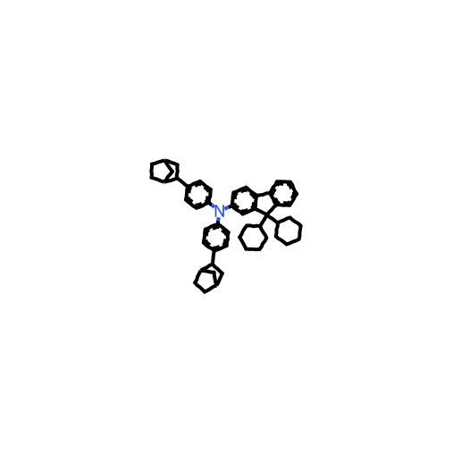 c1ccc2c(c1)-c1ccc(N(c3ccc(C4CC5CCC4C5)cc3)c3ccc(C4CC5CCC4C5)cc3)cc1C2(C1CCCCC1)C1CCCCC1